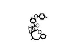 Cc1ccc(Oc2cccc(C(=O)N[C@H]3COc4ccccc4CCC(C)CC3=O)c2)cc1